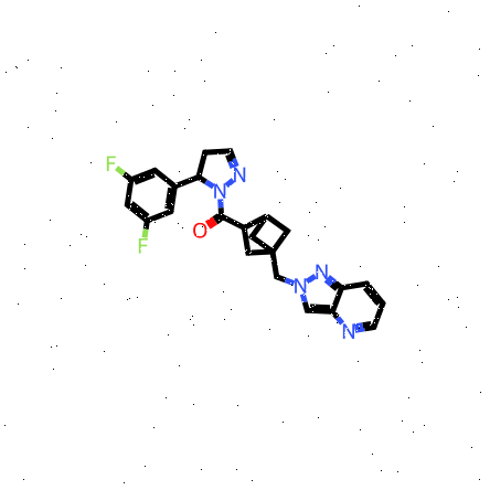 O=C(C1CC2(Cn3cc4ncccc4n3)CC1C2)N1N=CCC1c1cc(F)cc(F)c1